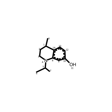 CC1CCN(C(C)C)c2cc(O)ccc21